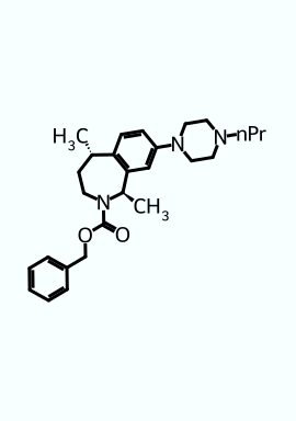 CCCN1CCN(c2ccc3c(c2)[C@@H](C)N(C(=O)OCc2ccccc2)CC[C@@H]3C)CC1